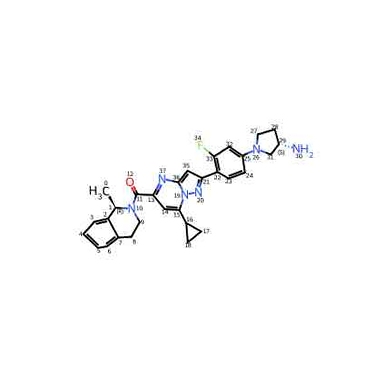 C[C@@H]1c2ccccc2CCN1C(=O)c1cc(C2CC2)n2nc(-c3ccc(N4CC[C@H](N)C4)cc3F)cc2n1